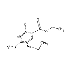 CCOC(=O)c1cnc(SC)[nH]c1=O.C[CH2][Na]